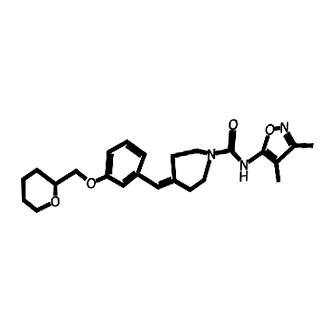 Cc1noc(NC(=O)N2CCC(=Cc3cccc(OCC4CCCCO4)c3)CC2)c1C